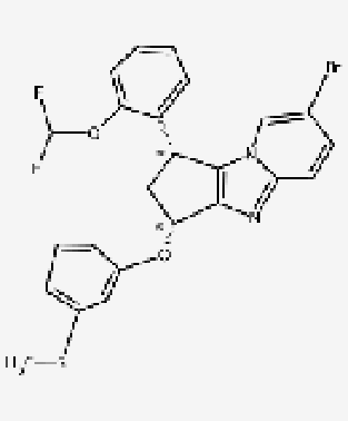 CSc1cccc(O[C@@H]2C[C@H](c3ccccc3OC(F)F)c3c2nc2ccc(Br)cn32)c1